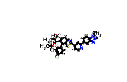 CC(=O)[C@@H](OC(C)(C)C)c1c(C)cc2nc(-c3ccnc(-c4ccc5c(c4)nnn5C)c3)sc2c1-c1ccc(Cl)cc1